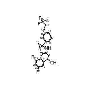 CC(CC(=O)NC1(c2cccc(OCC(F)(F)F)c2)CC1)c1cc(F)cc(F)c1